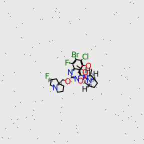 CC(C)(C)OC(=O)N1[C@@H]2CC[C@H]1[C@H]1COc3c(Cl)c(Br)c(F)c4nc(OC[C@@]56CCCN5C[C@H](F)C6)nc(c34)N1C2